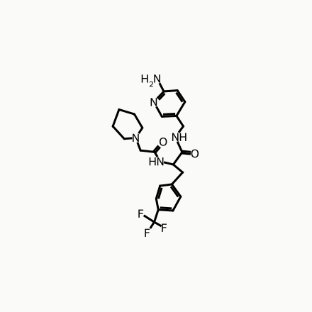 Nc1ccc(CNC(=O)C(Cc2ccc(C(F)(F)F)cc2)NC(=O)CN2CCCCC2)cn1